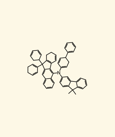 CC1(C)c2ccccc2-c2cc(N(C3=CCC(c4ccccc4)C=C3)c3c4c(cc5ccccc35)C(C3=CCCC=C3)(C3C=CC=CC3)C3=C4C=CCC3)ccc21